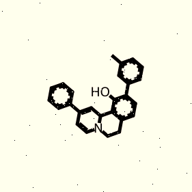 Cc1cccc(-c2ccc3c(c2O)C2C=C(c4ccccc4)C=CN2CC3)c1